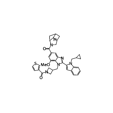 COc1cc(C(=O)N2CC3CC4CC2[C@H]43)cc2nc(-c3cc4ccccc4n3CC3CC3)n(CC3CN(C(=O)c4ccsc4)C3)c12